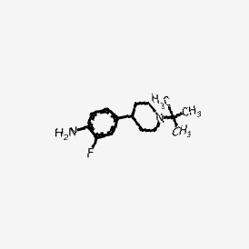 CC(C)(C)N1CCC(c2ccc(N)c(F)c2)CC1